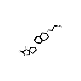 C=CCC[C@@H]1CCc2cc([C@@H]3CC[C@]4(COC(=O)N4)C3)ccc2C1